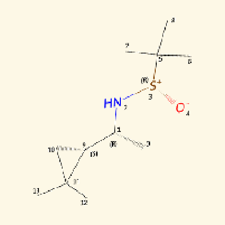 C[C@@H](N[S@@+]([O-])C(C)(C)C)[C@H]1CC1(C)C